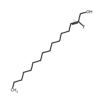 CCCCCCCCCCCCC/C=C(\F)CO